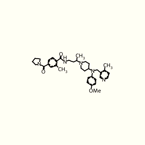 COc1ccc(N(Cc2cnccc2C)C2CCN(C(C)CCNC(=O)c3ccc(C(=O)N4CCCC4)cc3C)CC2)cc1